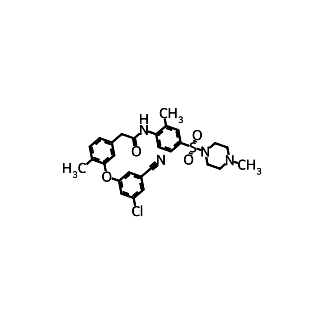 Cc1cc(S(=O)(=O)N2CCN(C)CC2)ccc1NC(=O)Cc1ccc(C)c(Oc2cc(Cl)cc(C#N)c2)c1